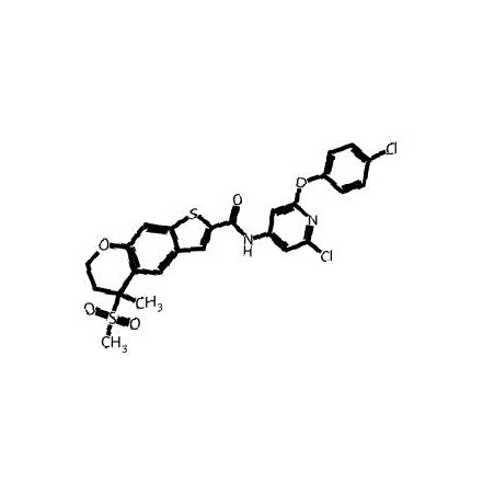 CC1(S(C)(=O)=O)CCOc2cc3sc(C(=O)Nc4cc(Cl)nc(Oc5ccc(Cl)cc5)c4)cc3cc21